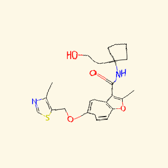 Cc1ncsc1COc1ccc2oc(C)c(C(=O)NC3(CCO)CCC3)c2c1